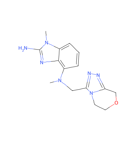 CN(Cc1nnc2n1CCOC2)c1cccc2c1nc(N)n2C